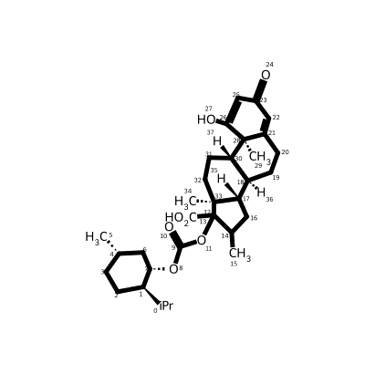 CC(C)[C@H]1CC[C@H](C)C[C@@H]1OC(=O)OC1(C(=O)O)C(C)C[C@H]2[C@@H]3CCC4=CC(=O)C=C(O)[C@]4(C)[C@H]3CC[C@@]21C